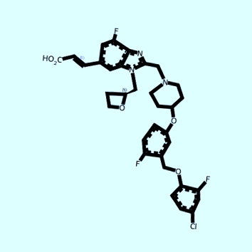 O=C(O)/C=C/c1cc(F)c2nc(CN3CCC(Oc4ccc(F)c(COc5ccc(Cl)cc5F)c4)CC3)n(C[C@@H]3CCO3)c2c1